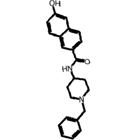 O=C(NC1CCN(Cc2ccccc2)CC1)c1ccc2cc(O)ccc2c1